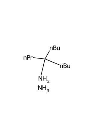 CCCCC(N)(CCC)CCCC.N